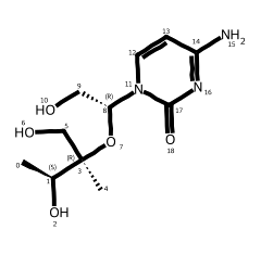 C[C@H](O)[C@@](C)(CO)O[C@H](CO)n1ccc(N)nc1=O